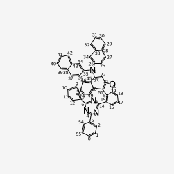 c1ccc(-c2nc(-c3ccccc3)nc(-c3cccc4oc5cc(N(c6ccc7ccccc7c6)c6ccc7ccccc7c6)c6ccccc6c5c34)n2)cc1